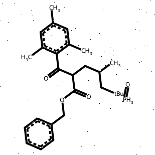 Cc1cc(C)c(C(=O)C(CC(C)CC(C)(C)C)C(=O)OCc2ccccc2)c(C)c1.O=[PH3]